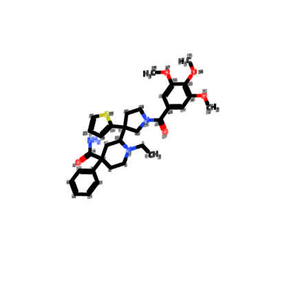 CCN1CCC(C(N)=O)(c2ccccc2)CC1C1(c2cccs2)CCN(C(=O)c2cc(OC)c(OC)c(OC)c2)C1